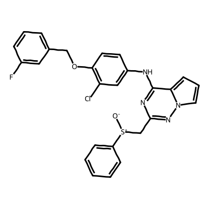 [O-][S+](Cc1nc(Nc2ccc(OCc3cccc(F)c3)c(Cl)c2)c2cccn2n1)c1ccccc1